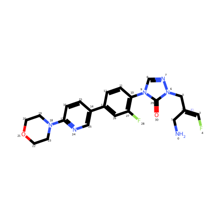 NC/C(=C\F)Cn1ncn(-c2ccc(-c3ccc(N4CCOCC4)nc3)cc2F)c1=O